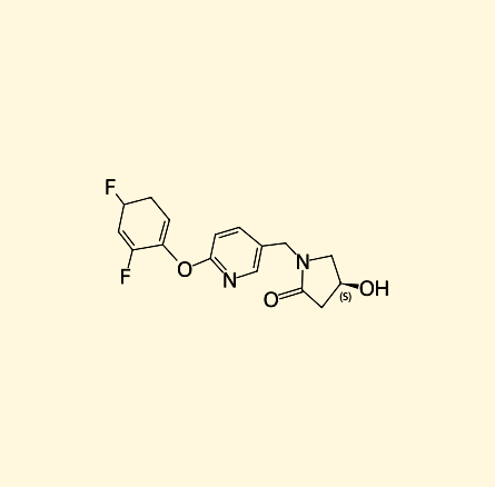 O=C1C[C@H](O)CN1Cc1ccc(OC2=CCC(F)C=C2F)nc1